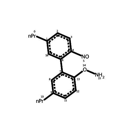 CCCc1ccc(N=O)c(-c2cc(CCC)ccc2ON)c1